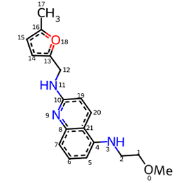 COCCNc1cccc2nc(NCc3ccc(C)o3)ccc12